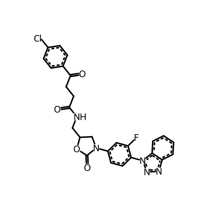 O=C(CCC(=O)c1ccc(Cl)cc1)NCC1CN(c2ccc(-n3nnc4ccccc43)c(F)c2)C(=O)O1